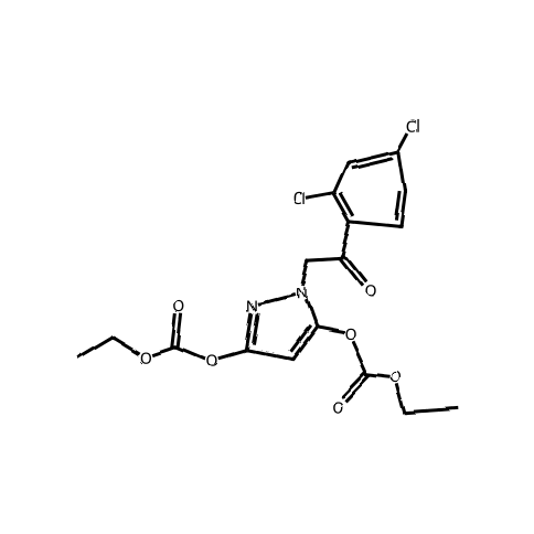 CCOC(=O)Oc1cc(OC(=O)OCC)n(CC(=O)c2ccc(Cl)cc2Cl)n1